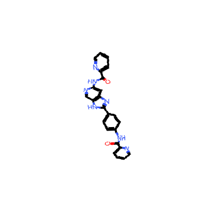 O=C(Nc1ccc(-c2nc3cc(NC(=O)c4ccccn4)ncc3[nH]2)cc1)c1ccccn1